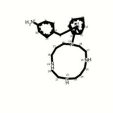 Nc1ccc(CN2Cc3ccc(cc3)C2N2CCCNCCNCCCNCC2)cc1